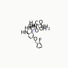 CN/C(C(=O)NC(C)(CO)C(N)=O)=C1/C=C(OCc2ccccc2F)C=CC1=N